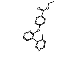 CCOC(=O)c1ccc(Oc2ncccc2-c2cnccc2C)cc1